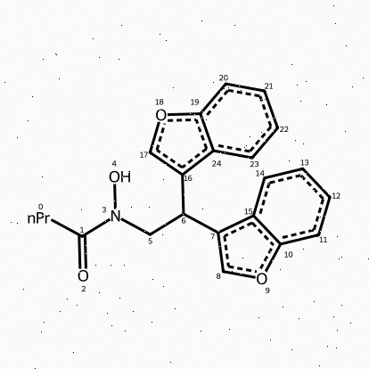 CCCC(=O)N(O)CC(c1coc2ccccc12)c1coc2ccccc12